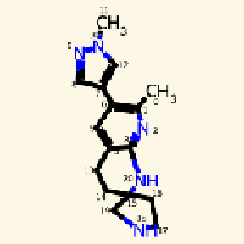 Cc1nc2c(cc1-c1cnn(C)c1)CCC1(CCNC1)N2